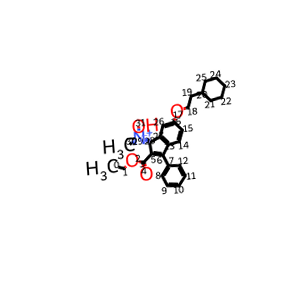 CCOC(=O)C1=C(c2ccccc2)c2ccc(OCCC3CCCCC3)cc2/C1=[N+](/C)O